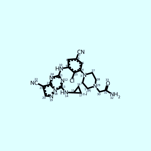 C[C@@H]1CN(c2cc(C#N)cc(Nc3nc(NC4CC4)n4ncc(C#N)c4n3)c2Cl)CCN1CC(N)=O